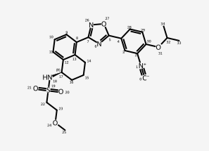 [C-]#[N+]c1cc(-c2nc(-c3cccc4c3CCC[C@H]4NS(=O)(=O)CCOC)no2)ccc1OC(C)C